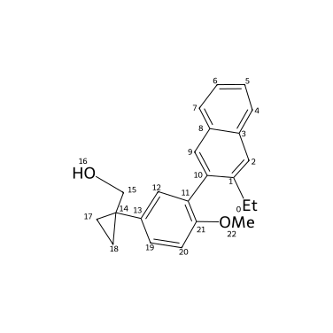 CCc1cc2ccccc2cc1-c1cc(C2(CO)CC2)ccc1OC